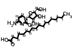 CCCCCCCCCCCCCCCCCC(=O)O.Nc1ccn([C@@H]2O[C@H](CO)[C@@H](O)[C@@H]2O)c(=O)n1